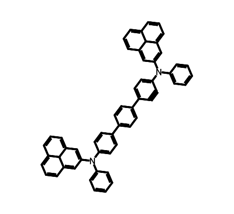 c1c(-c2ccc(-c3ccc(N(C4=CC5=CC=CC6=CC=CC(=C4)C65)c4ccccc4)cc3)cc2)ccc(N(C2=CC3=CC=CC4=CC=CC(=C2)C43)c2ccccc2)c#1